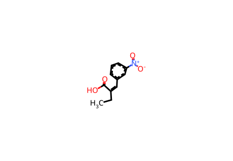 CCC(=Cc1cccc([N+](=O)[O-])c1)C(=O)O